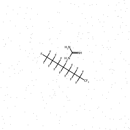 FC(F)(F)C(F)(F)C(F)(F)C(F)(F)C(F)(F)C(F)(F)C(F)(F)C(F)(F)I.N=C(N)N